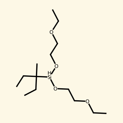 CCOCCO[SiH](OCCOCC)C(C)(CC)CC